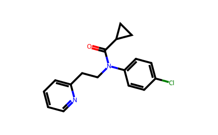 O=C(C1CC1)N(CCc1ccccn1)c1ccc(Cl)cc1